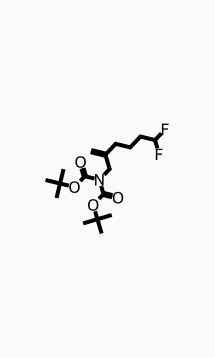 C=C(CCCC(F)F)CN(C(=O)OC(C)(C)C)C(=O)OC(C)(C)C